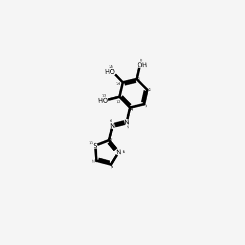 Oc1ccc(N=Nc2nccs2)c(O)c1O